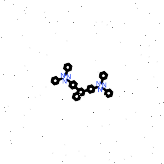 c1ccc(-c2nc(-c3ccccc3)nc(-c3ccc(-c4cc(-c5ccc(-c6nc(-c7ccccc7)nc(-c7ccccc7)n6)cc5)c5ccccc5c4)cc3)n2)cc1